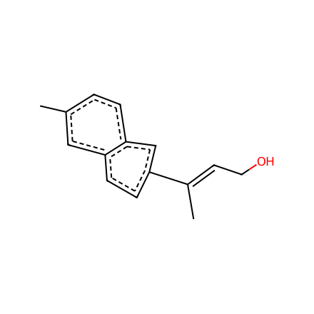 CC(=CCO)c1ccc2cc(C)ccc2c1